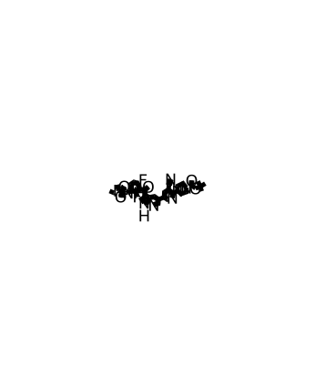 CCN(C)S(=O)(=O)Nc1ccc(F)c(C(=O)c2c[nH]c3ncc(-c4cnc(N5CCN(C(=O)OC(C)(C)C)CC5)c(C#N)c4)cc23)c1F